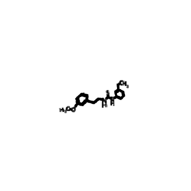 CCc1cccc(NC(=S)NCCc2cccc(OC)c2)c1